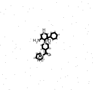 NC1CNCC(Cl)(C2CCCCC2)C1N1CCC(C(=O)N2CCN3CCC2CC3)CC1